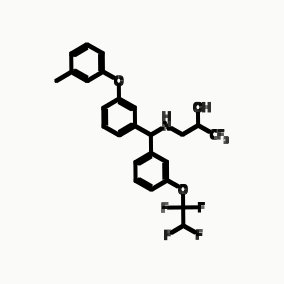 Cc1cccc(Oc2cccc(C(NCC(O)C(F)(F)F)c3cccc(OC(F)(F)C(F)F)c3)c2)c1